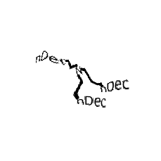 CCCCCCCCCCCCCN(CCCCCCCCCCCCC)CCCCCCCCCCCCC